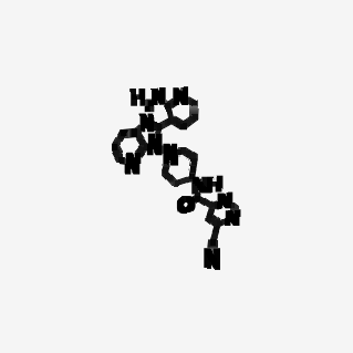 N#Cc1cc(C(=O)NC2CCN(n3c(-c4cccnc4N)nc4cccnc43)CC2)ncn1